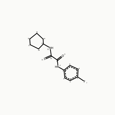 O=C(Nc1ccc(F)cc1)C(=S)NC1CCCCC1